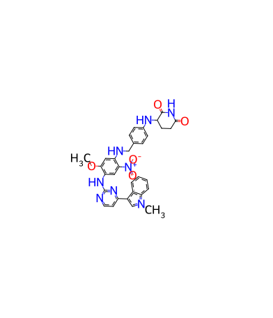 COc1cc(NCc2ccc(NC3CCC(=O)NC3=O)cc2)c([N+](=O)[O-])cc1Nc1nccc(-c2cn(C)c3ccccc23)n1